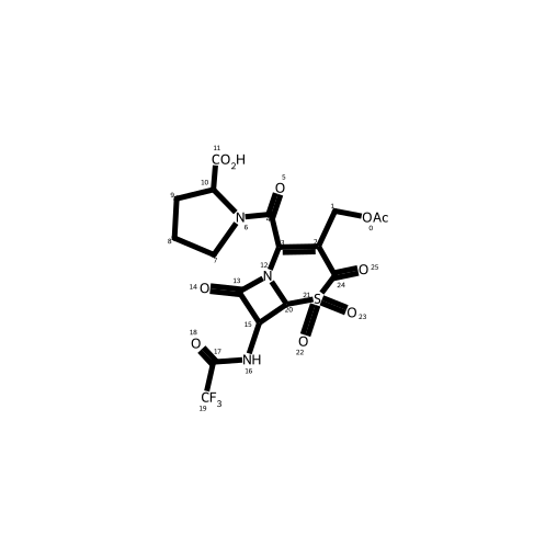 CC(=O)OCC1=C(C(=O)N2CCCC2C(=O)O)N2C(=O)C(NC(=O)C(F)(F)F)C2S(=O)(=O)C1=O